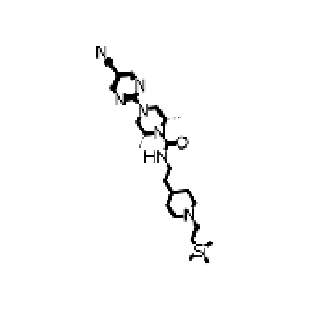 C[C@@H]1CN(c2ncc(C#N)cn2)C[C@H](C)N1C(=O)NCCC1CCN(CC[Si](C)(C)C)CC1